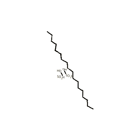 CCCCCCCCCCCCCCCCCC.O=S(=O)(O)O.O=S(=O)(O)O